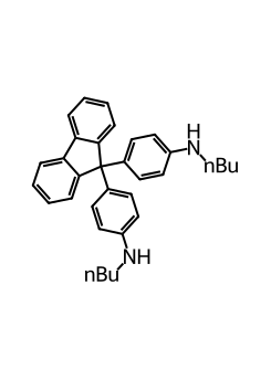 CCCCNc1ccc(C2(c3ccc(NCCCC)cc3)c3ccccc3-c3ccccc32)cc1